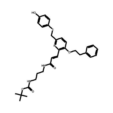 CC(C)(C)OC(=O)NCCCNC(=O)C=Cc1nc(CSc2ccc(O)cc2)ccc1OCCc1ccccc1